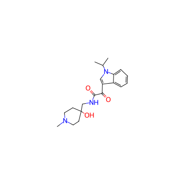 CC(C)n1cc(C(=O)C(=O)NCC2(O)CCN(C)CC2)c2ccccc21